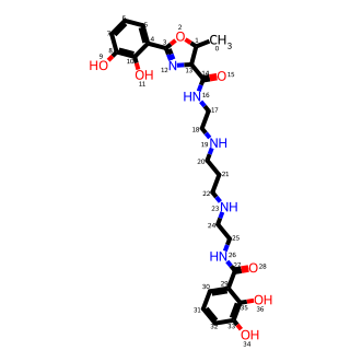 CC1OC(c2cccc(O)c2O)=NC1C(=O)NCCNCCCNCCNC(=O)c1cccc(O)c1O